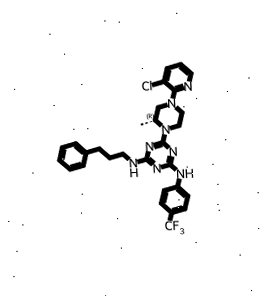 C[C@@H]1CN(c2ncccc2Cl)CCN1c1nc(NCCCc2ccccc2)nc(Nc2ccc(C(F)(F)F)cc2)n1